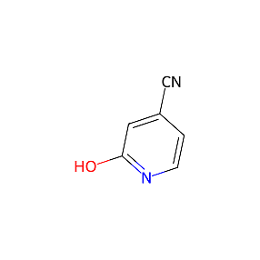 N#Cc1ccnc(O)c1